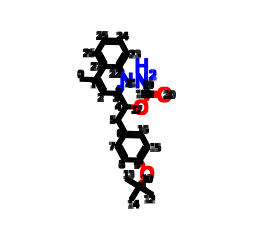 Cc1cc(C(Cc2ccc(OC(C)(C)C)cc2)OC(N)=O)nc2ccccc12